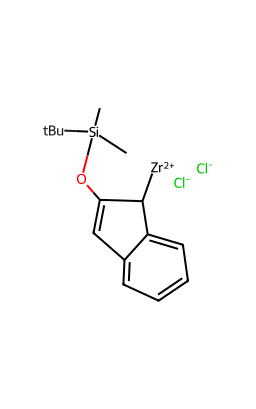 CC(C)(C)[Si](C)(C)OC1=Cc2ccccc2[CH]1[Zr+2].[Cl-].[Cl-]